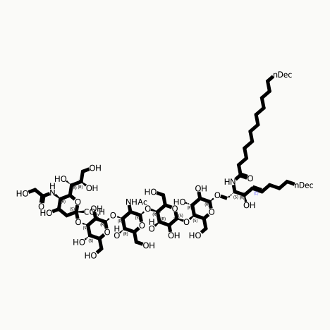 CCCCCCCCCCCCC/C=C/[C@@H](O)[C@H](CO[C@@H]1OC(CO)[C@@H](O[C@@H]2OC(CO)[C@H](O[C@@H]3OC(CO)[C@H](O)[C@H](O[C@@H]4OC(CO)[C@H](O)[C@H](O[C@]5(C(=O)O)CC(O)[C@@H](NC(=O)CO)C([C@H](O)[C@H](O)CO)O5)C4O)C3NC(C)=O)[C@H](O)C2O)[C@H](O)C1O)NC(=O)CCCCCCCCCCCCCCCCCCCCC